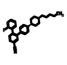 CCCCC[C@H]1CC[C@H](c2ccc(-c3cc(C#N)ccc3-c3ccccc3F)cc2)CC1